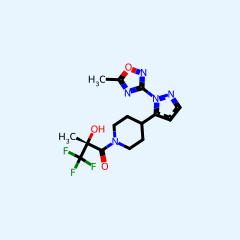 Cc1nc(-n2nccc2C2CCN(C(=O)[C@@](C)(O)C(F)(F)F)CC2)no1